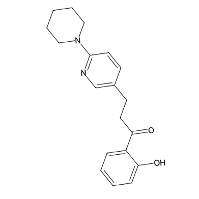 O=C(CCc1ccc(N2CCCCC2)nc1)c1ccccc1O